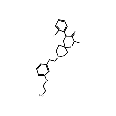 CC1OC2(CCN(CCc3cccc(OCCO)c3)CC2)CN(c2ccccc2F)C1=O